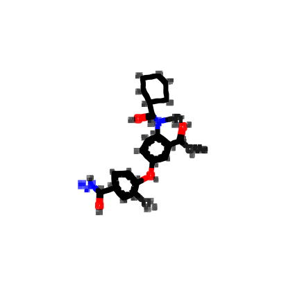 COC(=O)c1cc(Oc2ccc(C(N)=O)cc2C(F)(F)F)ccc1N(C(=O)C1CCCCC1)C(C)C